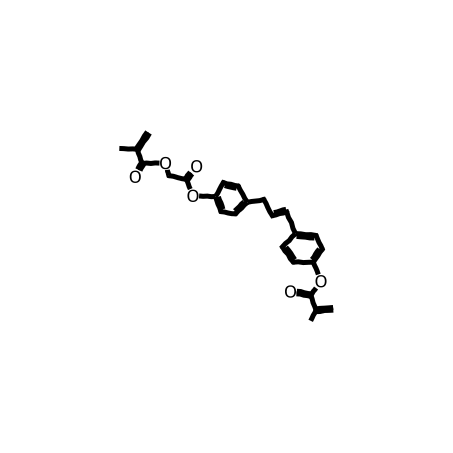 C=C(C)C(=O)OCC(=O)Oc1ccc(C/C=C/c2ccc(OC(=O)C(=C)C)cc2)cc1